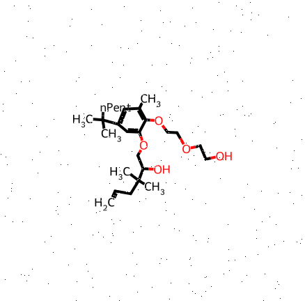 C=CCC(C)(C)C(O)COc1cc(C(C)(C)CCCCC)cc(C)c1OCCOCCO